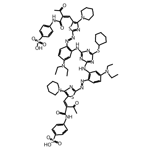 CCN(CC)c1ccc(/N=N/c2nc(N3CCCCC3)c(/C=C(/C(C)=O)C(=O)Nc3ccc(S(=O)(=O)O)cc3)s2)c(Nc2nc(Nc3cc(N(CC)CC)ccc3/N=N/c3nc(N4CCCCC4)c(/C=C(\C(C)=O)C(=O)Nc4ccc(S(=O)(=O)O)cc4)s3)nc(SC3CCCCC3)n2)c1